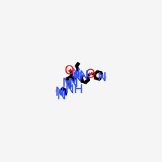 C=CCn1c(=O)c2cnc(Nc3cnn(C)c3)nc2n1-c1cccc(OC2CCN(C)CC2)n1